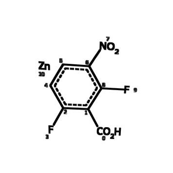 O=C(O)c1c(F)ccc([N+](=O)[O-])c1F.[Zn]